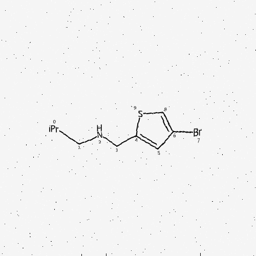 CC(C)CNCc1cc(Br)cs1